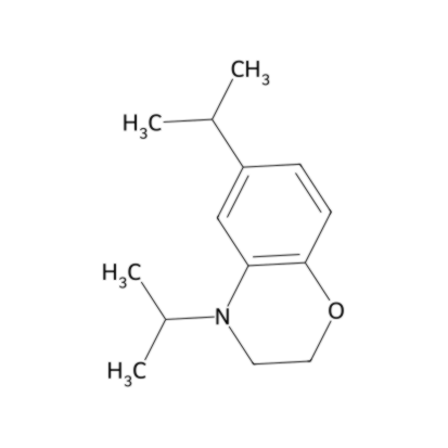 CC(C)c1ccc2c(c1)N(C(C)C)CCO2